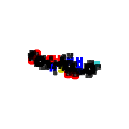 Cc1c(CN(C)CC(O)c2ccc3c(c2)OCCO3)sc2c(=O)c(C(=O)NCc3ccc(F)cc3)cn(C)c12